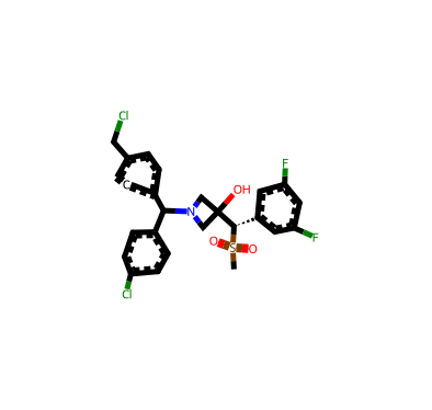 CS(=O)(=O)[C@@H](c1cc(F)cc(F)c1)C1(O)CN(C(c2ccc(Cl)cc2)c2ccc(CCl)cc2)C1